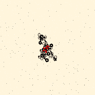 COc1ccc(C(=O)NCCCN(CCCC(C(=O)NCCOCCNC(=O)OC(C)(C)C)N(CCCNC(=O)c2ccc(OC)c(=O)n2OCc2ccccc2)C(=O)c2ccc(OC)c(=O)n2OCc2ccccc2)C(=O)c2ccc(OC)c(=O)n2OCc2ccccc2)n(OCc2ccccc2)c1=O